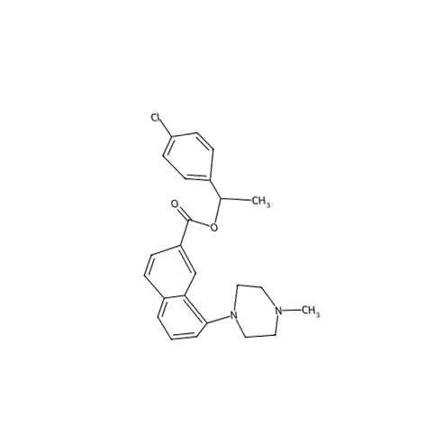 CC(OC(=O)c1ccc2cccc(N3CCN(C)CC3)c2c1)c1ccc(Cl)cc1